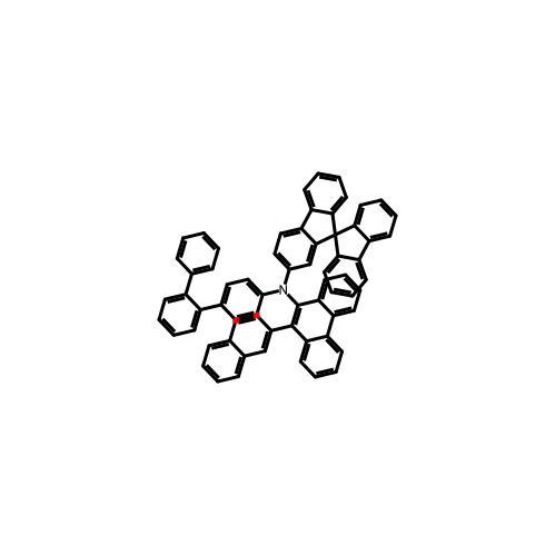 c1ccc(-c2ccccc2-c2ccc(N(c3ccc4c(c3)C3(c5ccccc5-c5ccccc53)c3ccccc3-4)c3c(-c4ccc5ccccc5c4)c4ccccc4c4ccccc34)cc2)cc1